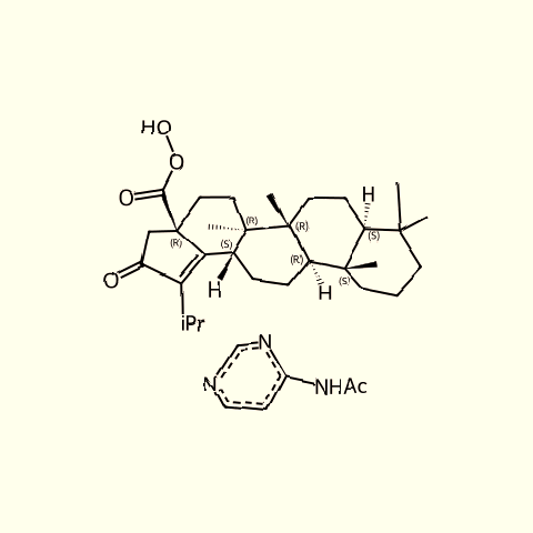 CC(=O)Nc1ccncn1.CC(C)C1=C2[C@H]3CC[C@@H]4[C@@]5(C)CCCC(C)(C)[C@@H]5CC[C@@]4(C)[C@]3(C)CC[C@@]2(C(=O)OO)CC1=O